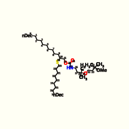 CCCCCCCCCCCCCCCCCCCC(COC(=O)NCCC(C)(C)OCCC(C)(C)OC)SCCCCCCCCCCCCCCCCCC